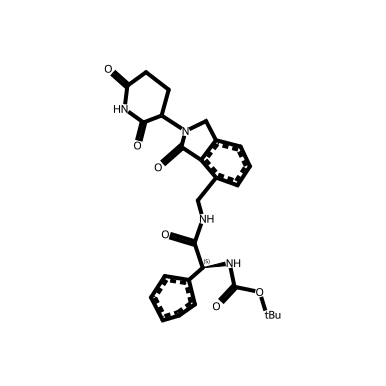 CC(C)(C)OC(=O)N[C@H](C(=O)NCc1cccc2c1C(=O)N(C1CCC(=O)NC1=O)C2)c1ccccc1